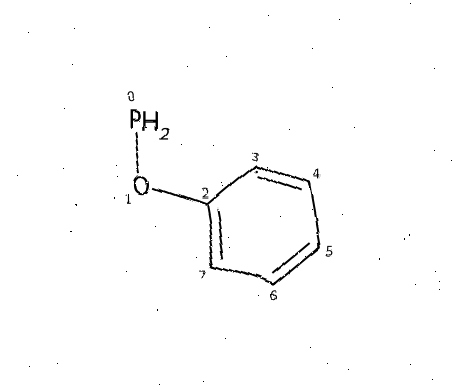 POc1[c]cccc1